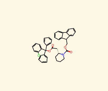 O=C(C[C@H]1CCCCN1C(=O)OCC1c2ccccc2-c2ccccc21)OC(c1ccccc1)(c1ccccc1)c1ccccc1Cl